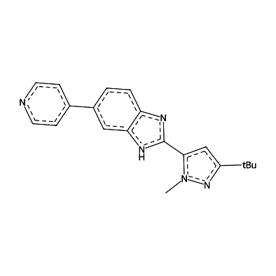 Cn1nc(C(C)(C)C)cc1-c1nc2ccc(-c3ccncc3)cc2[nH]1